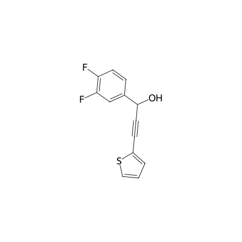 OC(C#Cc1cccs1)c1ccc(F)c(F)c1